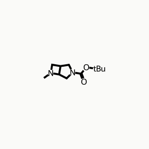 CN1CC2CN(C(=O)OC(C)(C)C)CC21